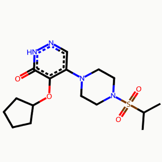 CC(C)S(=O)(=O)N1CCN(c2cn[nH]c(=O)c2OC2CCCC2)CC1